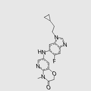 CN1C(=O)COc2cc(Nc3cc4c(cc3F)ncn4CCC3CC3)cnc21